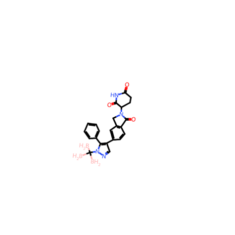 BC(B)(B)n1ncc(-c2ccc3c(c2)CN(C2CCC(=O)NC2=O)C3=O)c1-c1ccccc1